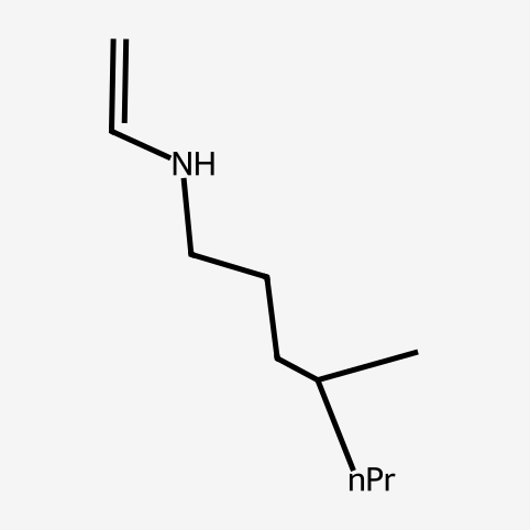 C=CNCCCC(C)CCC